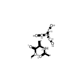 C=C(NC(C)=O)C(=O)OC.O=[C]=[Fe](=[C]=O)=[C]=O